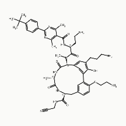 Cc1nc(-c2ccc(C(C)(C)C)cc2)nc(C)c1C(=O)N[C@@H](CCN)C(=O)N(C)[C@@H]1C(=O)N[C@@H](C)C(=O)N[C@H](C(=O)NCC#N)Cc2ccc(OCCN)c(c2)-c2cc1cc(CCCN)c2O